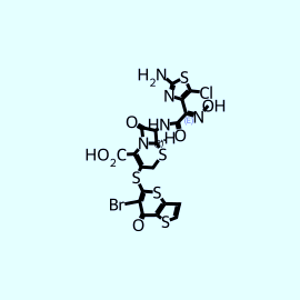 Nc1nc(/C(=N\O)C(=O)NC2C(=O)N3C(C(=O)O)=C(Sc4sc5ccsc5c(=O)c4Br)CS[C@H]23)c(Cl)s1